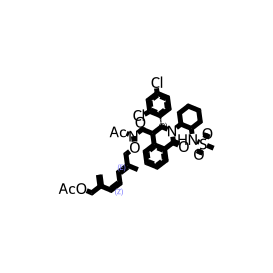 C=C(/C=C\C=C(/C)CON(C(C)=O)C(=O)C1c2ccccc2C(=O)N(C2CCCCC2NS(C)(=O)=O)[C@H]1c1ccc(Cl)cc1Cl)COC(C)=O